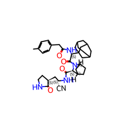 Cc1ccc(CC(=O)N[C@H](C(=O)N2[C@@H]3CC[C@@H](C3)[C@H]2C(=O)N[C@H](C#N)C[C@@H]2CCNC2=O)C23CC4CC(CC(C4)C2)C3)cc1